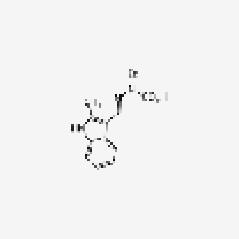 CCN(N=Cc1c(C)[nH]c2ccccc12)C(=O)O